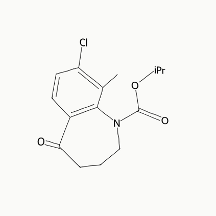 Cc1c(Cl)ccc2c1N(C(=O)OC(C)C)CCCC2=O